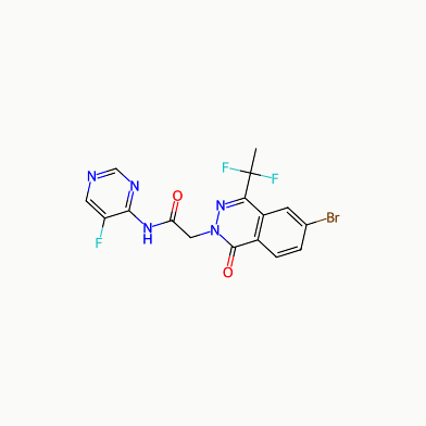 CC(F)(F)c1nn(CC(=O)Nc2ncncc2F)c(=O)c2ccc(Br)cc12